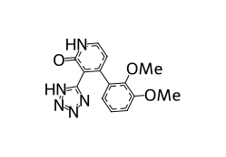 COc1cccc(-c2cc[nH]c(=O)c2-c2nnn[nH]2)c1OC